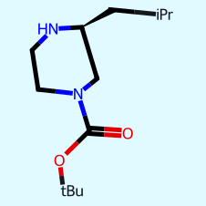 CC(C)C[C@H]1CN(C(=O)OC(C)(C)C)CCN1